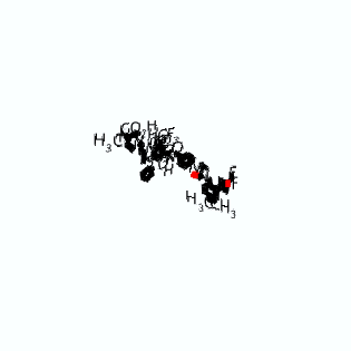 CN(C(=O)O)C1CCN(CCC(CSc2ccccc2)Nc2ccc(S(=O)(=O)NC(=O)c3ccc(N4CCN(CC5=C(C67CC(C(F)F)(C6)C7)CC(C)(C)CC5)CC4)cc3)cc2S(=O)(=O)C(F)(F)F)CC1